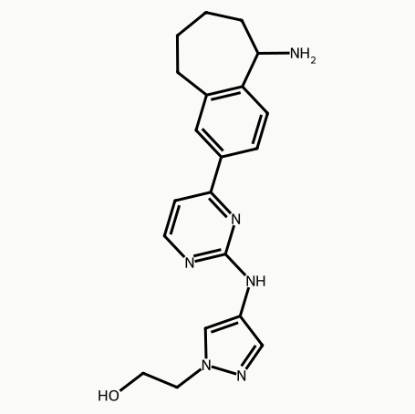 NC1CCCCc2cc(-c3ccnc(Nc4cnn(CCO)c4)n3)ccc21